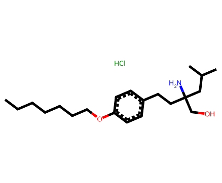 CCCCCCCOc1ccc(CCC(N)(CO)CC(C)C)cc1.Cl